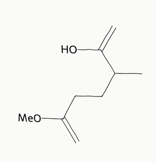 C=C(CCC(C)C(=C)O)OC